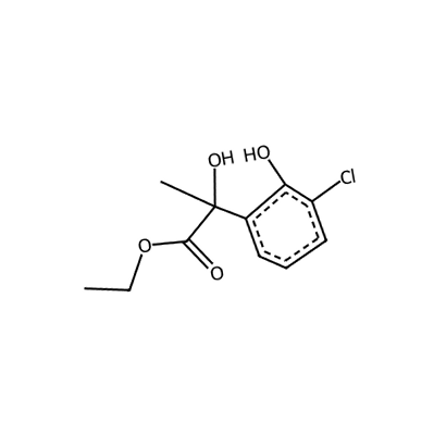 CCOC(=O)C(C)(O)c1cccc(Cl)c1O